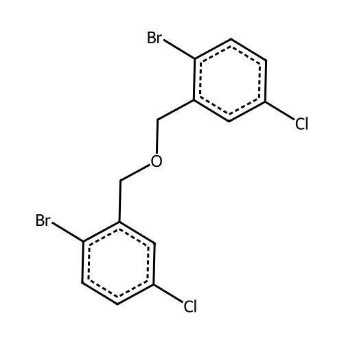 Clc1ccc(Br)c(COCc2cc(Cl)ccc2Br)c1